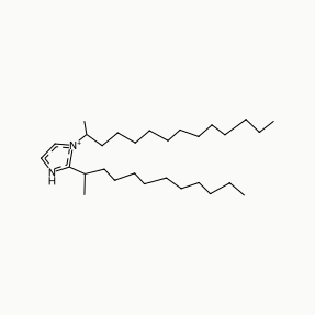 CCCCCCCCCCCCC(C)[n+]1cc[nH]c1C(C)CCCCCCCCCC